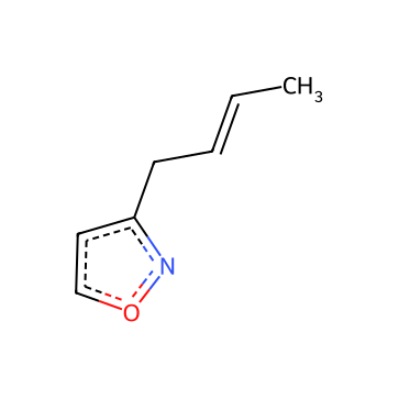 CC=CCc1ccon1